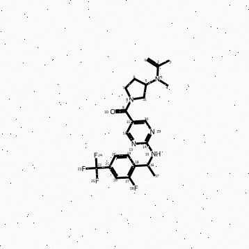 C=C(C)N(C)C1CCN(C(=O)c2cnc(NC(C)c3ccc(C(F)(F)F)cc3F)nc2)C1